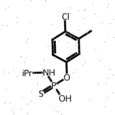 Cc1cc(OP(O)(=S)NC(C)C)ccc1Cl